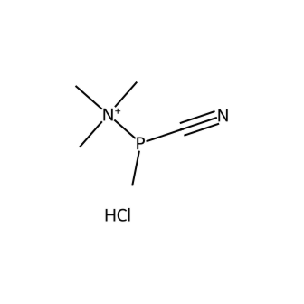 CP(C#N)[N+](C)(C)C.Cl